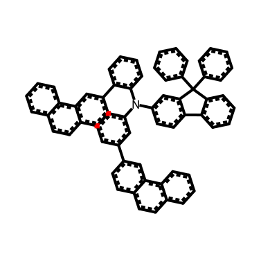 c1ccc(C2(c3ccccc3)c3ccccc3-c3ccc(N(c4cccc(-c5ccc6ccc7ccccc7c6c5)c4)c4ccccc4-c4ccc5ccc6ccccc6c5c4)cc32)cc1